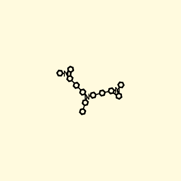 c1ccc(-c2ccc(N(c3ccc(-c4ccc(-c5ccc6c(c5)c5ccccc5n6-c5ccccc5)cc4)cc3)c3ccc(-c4ccc(-c5ccc6c(c5)c5ccccc5n6-c5ccccc5)cc4)cc3)cc2)cc1